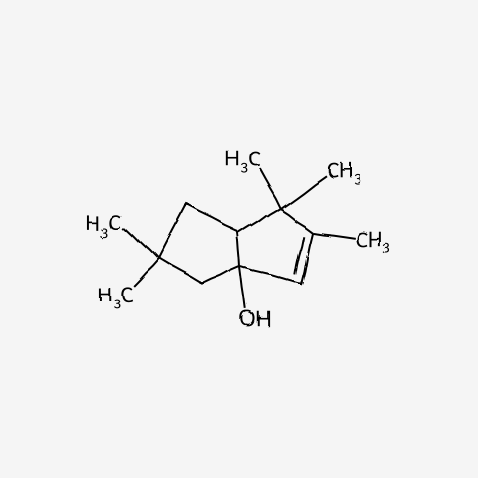 CC1=CC2(O)CC(C)(C)CC2C1(C)C